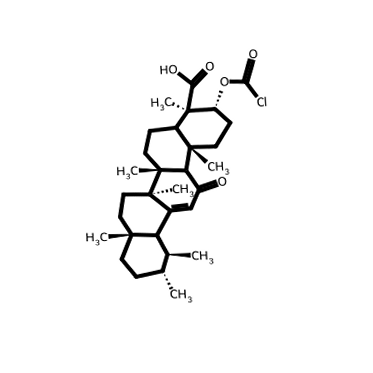 C[C@@H]1CC[C@]2(C)CC[C@]3(C)C(=CC(=O)C4[C@@]5(C)CC[C@@H](OC(=O)Cl)[C@](C)(C(=O)O)C5CC[C@]43C)C2[C@H]1C